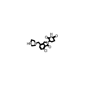 O=C1CCC(N2Cc3c(CN4CCNCC4)ccc(Cl)c3C2=O)C(=O)N1